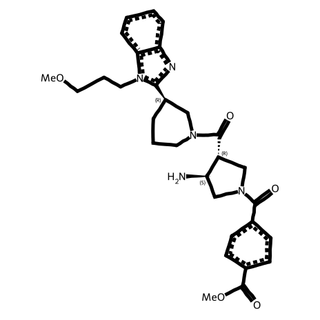 COCCCn1c([C@@H]2CCCN(C(=O)[C@@H]3CN(C(=O)c4ccc(C(=O)OC)cc4)C[C@H]3N)C2)nc2ccccc21